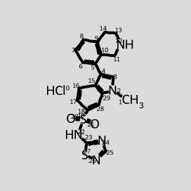 Cl.Cn1cc(-c2cccc3c2CNCC3)c2ccc(S(=O)(=O)Nc3ncns3)cc21